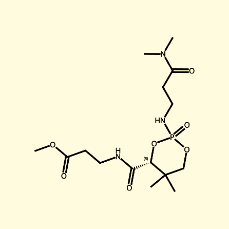 COC(=O)CCNC(=O)[C@@H]1OP(=O)(NCCC(=O)N(C)C)OCC1(C)C